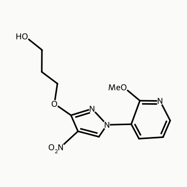 COc1ncccc1-n1cc([N+](=O)[O-])c(OCCCO)n1